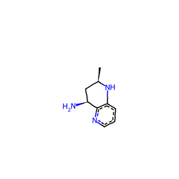 C[C@@H]1C[C@H](N)c2ncccc2N1